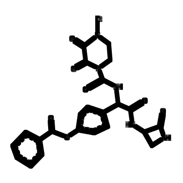 CCN1CCN(C(=O)NC(C(=O)NC2CNC2=O)c2ccc(OC(=O)c3ccccc3)cc2)C(=O)C1=O